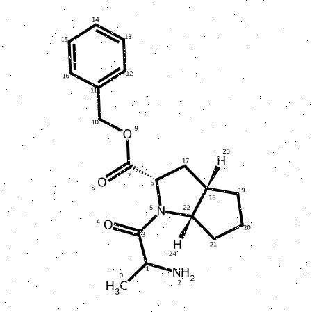 CC(N)C(=O)N1[C@H](C(=O)OCc2ccccc2)C[C@@H]2CCC[C@@H]21